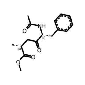 COC(=O)[C@H](C)CC(=O)[C@@H](Cc1ccccc1)NC(C)=O